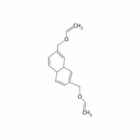 C=COCC1=CC2C=C(COC=C)C=CC2C=C1